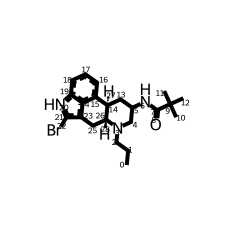 CCCN1CC(NC(=O)C(C)(C)C)C[C@@H]2c3cccc4[nH]c(Br)c(c34)C[C@H]21